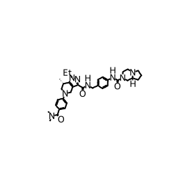 CCn1nc(C(=O)NCc2ccc(NC(=O)N3CCN4CCC[C@@H]4C3)cc2)c2c1[C@@H](C)CN(c1ccc(C(=O)N(C)C)cc1)C2